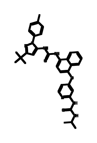 Cc1ccc(-n2nc(C(C)(C)C)cc2NC(=O)Nc2ccc(Oc3ccnc(NC(=O)NC(C)C)c3)c3ccccc23)cc1